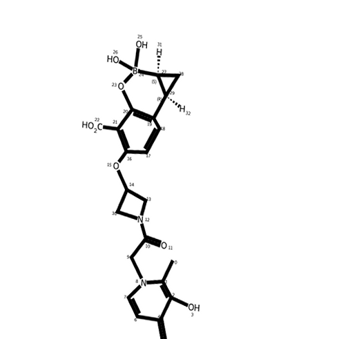 Cc1c(O)c(=O)ccn1CC(=O)N1CC(Oc2ccc3c(c2C(=O)O)O[B-](O)(O)[C@H]2C[C@@H]32)C1